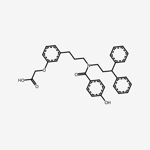 O=C(O)COc1cccc(CCCN(CCC(c2ccccc2)c2ccccc2)C(=O)c2ccc(O)cc2)c1